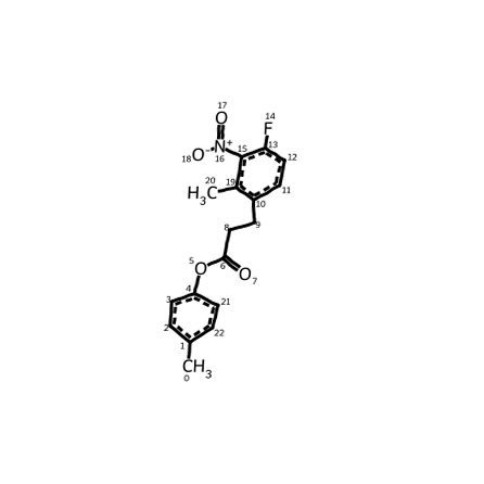 Cc1ccc(OC(=O)CCc2ccc(F)c([N+](=O)[O-])c2C)cc1